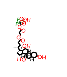 C[C@H](CCC(=O)OCCC(=O)OCC(F)(F)S(=O)(=O)O)[C@H]1CC[C@H]2[C@@H]3C(O)C[C@@H]4CC(O)CC[C@]4(C)[C@H]3CC(O)[C@]12C